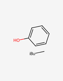 CCC(C)C.Oc1ccccc1